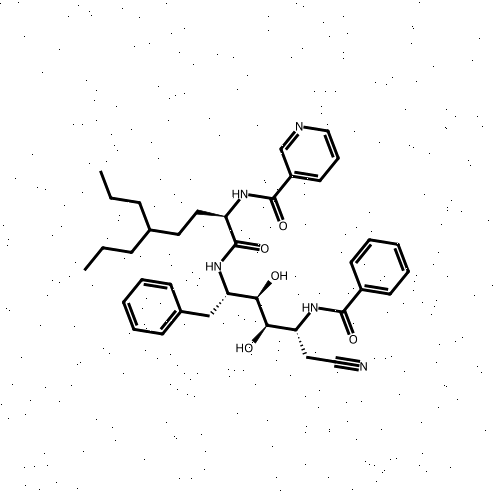 CCCC(CCC)CC[C@@H](NC(=O)c1cccnc1)C(=O)N[C@@H](Cc1ccccc1)[C@@H](O)[C@H](O)[C@@H](CC#N)NC(=O)c1ccccc1